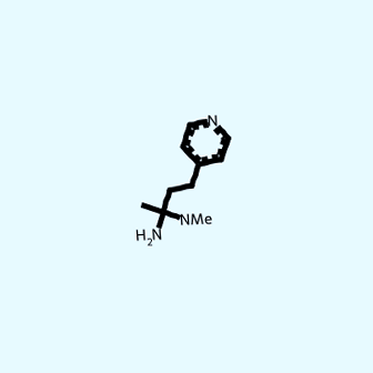 CNC(C)(N)CCc1ccncc1